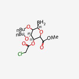 B[C@H]1OC(C(=O)OC)[C@@H](OC(=O)CCl)[C@H](OCCCC)C1OCCCC